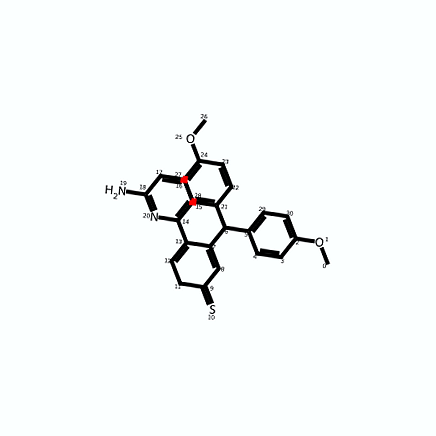 COc1ccc(C(C2=CC(=S)CC=C2c2cccc(N)n2)c2ccc(OC)cc2)cc1